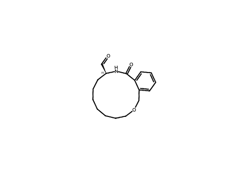 O=C[C@@H]1CCCCCCCOCc2ccccc2C(=O)N1